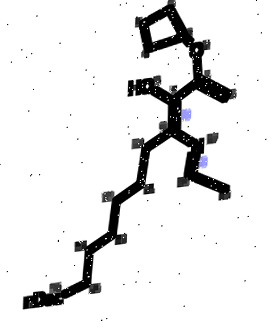 C=C(OC1CCC1)/C(O)=C(CCCCCCCCCCCCCCCC)\N=C\C